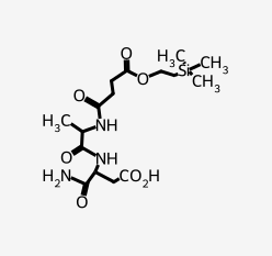 CC(NC(=O)CCC(=O)OCC[Si](C)(C)C)C(=O)NC(CC(=O)O)C(N)=O